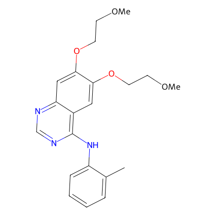 COCCOc1cc2ncnc(Nc3ccccc3C)c2cc1OCCOC